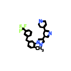 Cc1ccc(Cc2cccc(C(F)(F)F)c2)cc1-n1cc(C2C=NC=C(C3=CC=NCC3)C2)cn1